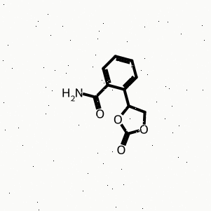 NC(=O)c1ccccc1C1COC(=O)O1